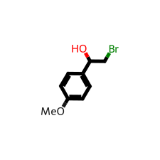 COc1ccc(C(O)CBr)cc1